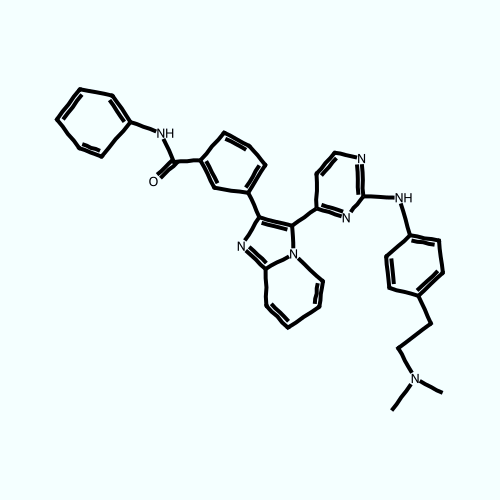 CN(C)CCc1ccc(Nc2nccc(-c3c(-c4cccc(C(=O)Nc5ccccc5)c4)nc4ccccn34)n2)cc1